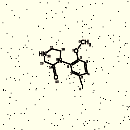 COc1ccc(I)cc1N1CCNCC1=O